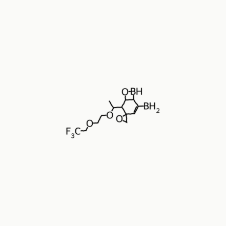 BC1=CC2(CO2)C(C(C)OCCOCC(F)(F)F)C2OBC12